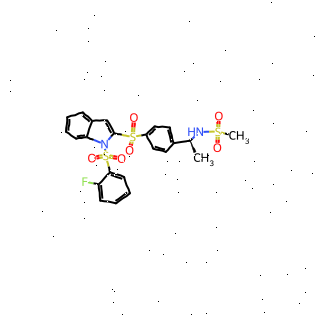 C[C@H](NS(C)(=O)=O)c1ccc(S(=O)(=O)c2cc3ccccc3n2S(=O)(=O)c2ccccc2F)cc1